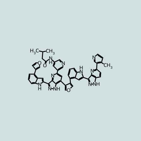 Cc1ccncc1-c1ccc2[nH]nc(-c3cc4c(-c5cocc5-c5cc(-c6cncc(NC(=O)CC(C)C)c6)nc6c(-c7cc8c(-c9ccoc9)cccc8[nH]7)n[nH]c56)cccc4[nH]3)c2n1